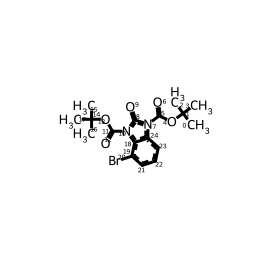 CC(C)(C)OC(=O)n1c(=O)n(C(=O)OC(C)(C)C)c2c(Br)cccc21